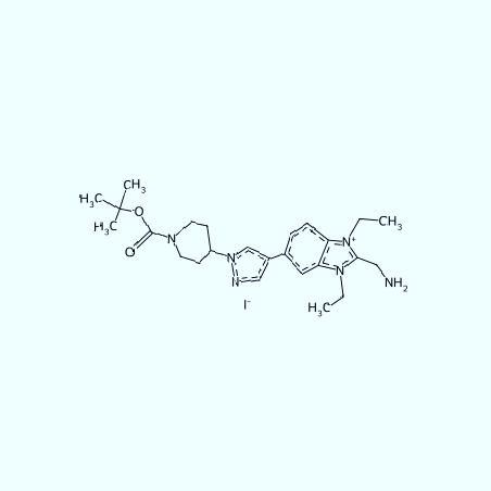 CCn1c(CN)[n+](CC)c2ccc(-c3cnn(C4CCN(C(=O)OC(C)(C)C)CC4)c3)cc21.[I-]